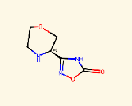 O=c1[nH]c([C@@H]2COCCN2)no1